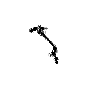 Cc1ncsc1-c1ccc(CNC(=O)[C@@H]2C[C@@H](O)CN2C(=O)[C@@H](NC(=O)COCCCOCCCCOCCCOc2ccc(Nc3ncc(Br)c(NCCCN(C)C(=O)C4CCC4)n3)cc2)C(C)(C)C)cc1